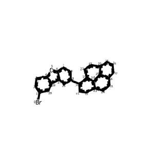 Brc1ccc2oc3ccc(-c4ccc5ccc6cccc7ccc4c5c67)cc3c2c1